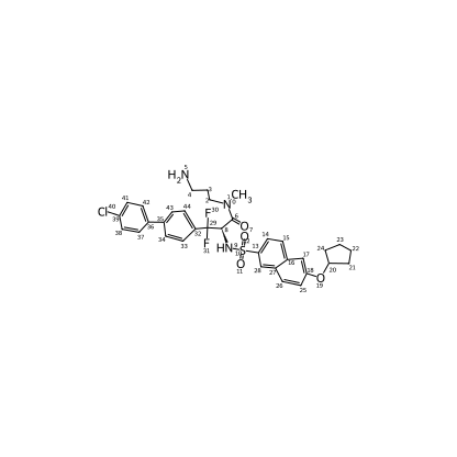 CN(CCCN)C(=O)[C@@H](NS(=O)(=O)c1ccc2cc(OC3CCCC3)ccc2c1)C(F)(F)c1ccc(-c2ccc(Cl)cc2)cc1